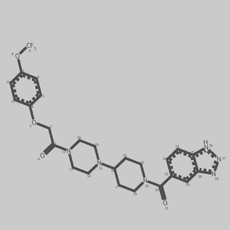 O=C(COc1ccc(OC(F)(F)F)cc1)N1CCN(C2CCN(C(=O)c3ccc4[nH]nnc4c3)CC2)CC1